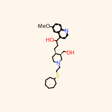 COc1ccc2nccc(C(O)CC[C@@H]3CCN(CCSC4CCCCCC4)C[C@@H]3CO)c2c1